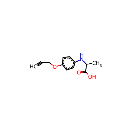 C#CCOc1ccc(N[C@@H](C)C(=O)O)cc1